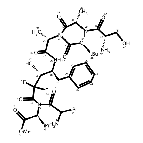 COC(=O)[C@H](C(C)C)N(C(=O)C(N)C(C)C)C(=O)C(F)(F)[C@H](O)[C@H](Cc1ccccc1)NC(=O)[C@H](C)N(C(=O)OC(C)(C)C)C(=O)[C@H](C)NC(=O)[C@@H](N)CO